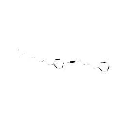 O=[PH](O)OCCCNCc1ccc(C#CCCCCc2ccccc2)c(F)c1